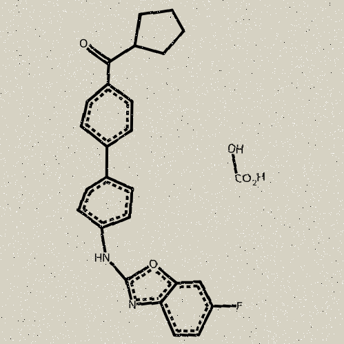 O=C(O)O.O=C(c1ccc(-c2ccc(Nc3nc4ccc(F)cc4o3)cc2)cc1)C1CCCC1